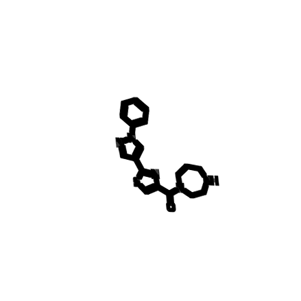 O=C(c1csc(-c2cnn(-c3ccccc3)c2)n1)N1CCCNCC1